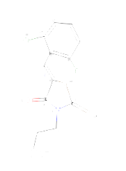 O=C(O)CCN1C(=O)/C(=C/c2c(F)cccc2Cl)SC1=S